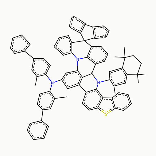 Cc1cc2c(cc1N1B3c4cccc5c4N(c4ccccc4C54c5ccccc5-c5ccccc54)c4cc(N(c5ccc(-c6ccccc6)cc5C)c5ccc(-c6ccccc6)cc5C)cc(c43)-c3ccc4sc5ccccc5c4c31)C(C)(C)CCC2(C)C